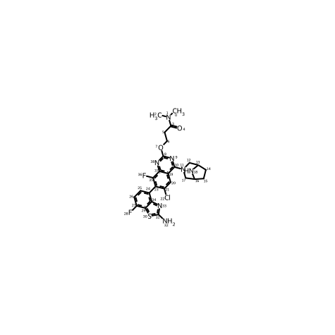 CN(C)C(=O)CCOc1nc(N2CC3CCC(C2)N3)c2cc(Cl)c(-c3ccc(F)c4sc(N)nc34)c(F)c2n1